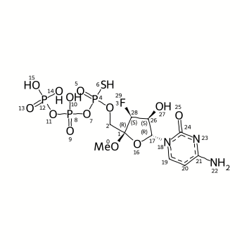 CO[C@]1(COP(=O)(S)OP(=O)(O)OP(=O)(O)O)O[C@@H](n2ccc(N)nc2=O)[C@H](O)[C@@H]1F